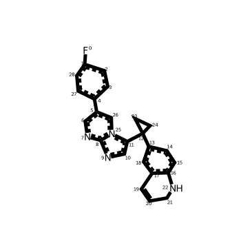 Fc1ccc(-c2cnc3ncc(C4(c5ccc6c(c5)C=CCN6)CC4)n3c2)cc1